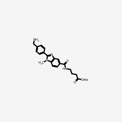 COC(=O)CCCNC(=O)c1ccc2c(c1)nc(-c1ccc(CN)cc1)n2C